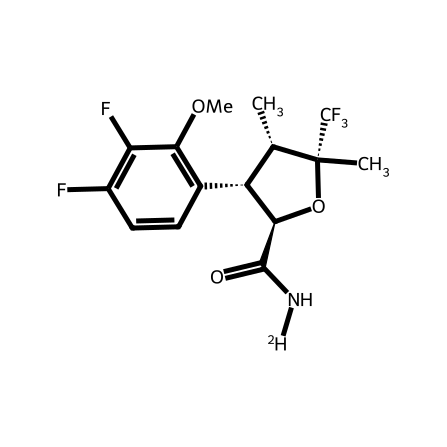 [2H]NC(=O)[C@@H]1O[C@@](C)(C(F)(F)F)[C@@H](C)[C@H]1c1ccc(F)c(F)c1OC